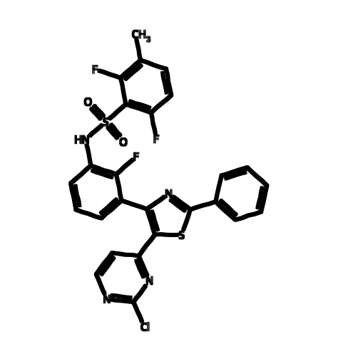 Cc1ccc(F)c(S(=O)(=O)Nc2cccc(-c3nc(-c4ccccc4)sc3-c3ccnc(Cl)n3)c2F)c1F